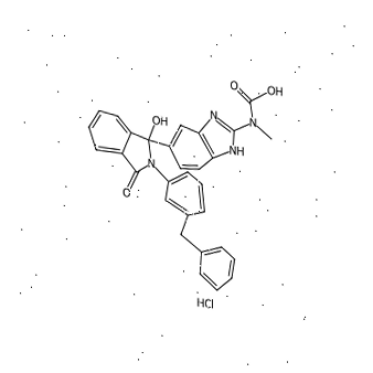 CN(C(=O)O)c1nc2cc(C3(O)c4ccccc4C(=O)N3c3cccc(Cc4ccccc4)c3)ccc2[nH]1.Cl